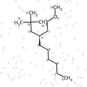 CCCCCC[C@H](CCOC)CC(C)(C)C